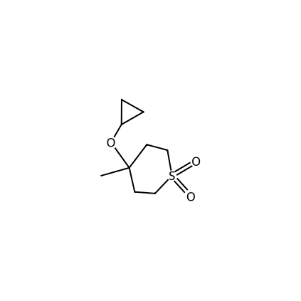 CC1(OC2CC2)CCS(=O)(=O)CC1